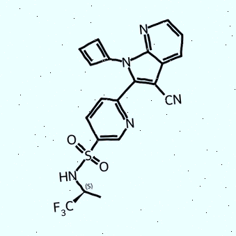 C[C@H](NS(=O)(=O)c1ccc(-c2c(C#N)c3cccnc3n2C2=CC=C2)nc1)C(F)(F)F